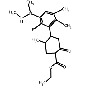 CCOC(=O)C1CC(C)C(c2c(C)c(C)cc(N(C)PC)c2F)CC1=O